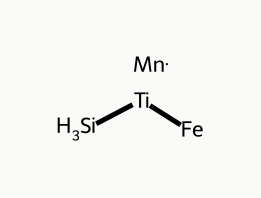 [Mn].[SiH3][Ti][Fe]